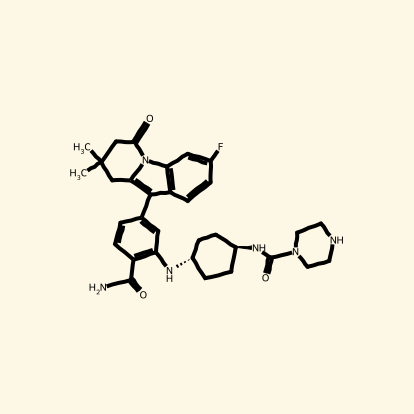 CC1(C)CC(=O)n2c(c(-c3ccc(C(N)=O)c(N[C@H]4CC[C@H](NC(=O)N5CCNCC5)CC4)c3)c3ccc(F)cc32)C1